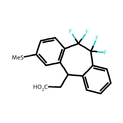 CSc1ccc2c(c1)C(CC(=O)O)c1ccccc1C(F)(F)C2(F)F